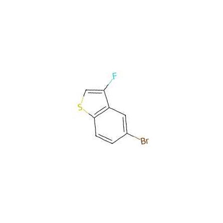 Fc1csc2ccc(Br)cc12